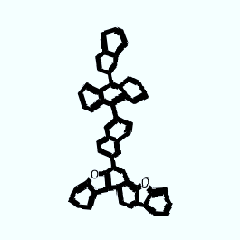 c1ccc2cc(-c3c4ccccc4c(-c4ccc5cc(-c6cc7c(ccc8c9ccccc9oc87)c7c6oc6ccccc67)ccc5c4)c4ccccc34)ccc2c1